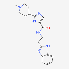 CN1CCC(c2ncc(C(=O)NCCc3nc4ccccc4[nH]3)[nH]2)CC1